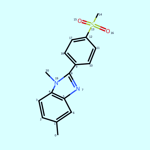 Cc1ccc2c(c1)nc(-c1ccc(S(C)(=O)=O)cc1)n2C